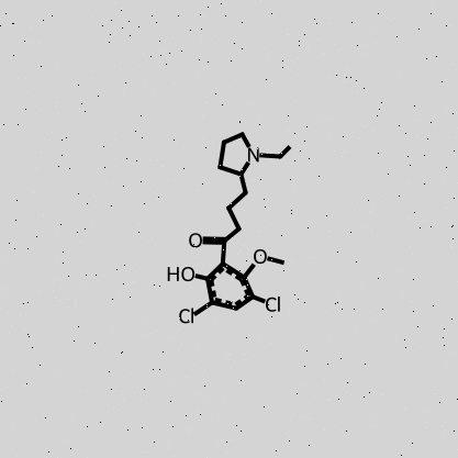 CCN1CCCC1CCCC(=O)c1c(O)c(Cl)cc(Cl)c1OC